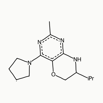 Cc1nc2c(c(N3C[CH]CC3)n1)OCC(C(C)C)N2